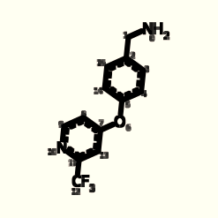 NCc1ccc(Oc2ccnc(C(F)(F)F)c2)cc1